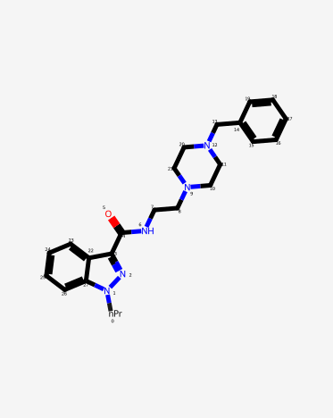 CCCn1nc(C(=O)NCCN2CCN(Cc3ccccc3)CC2)c2ccccc21